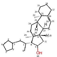 CC(CC1CCCC1)[C@H]1C(O)C[C@H]2[C@@H]3CC=C4CCCC[C@]4(C)[C@H]3CC[C@]12C